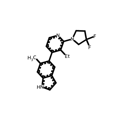 CCc1c(-c2cc3cc[nH]c3cc2C)ccnc1N1CCC(F)(F)C1